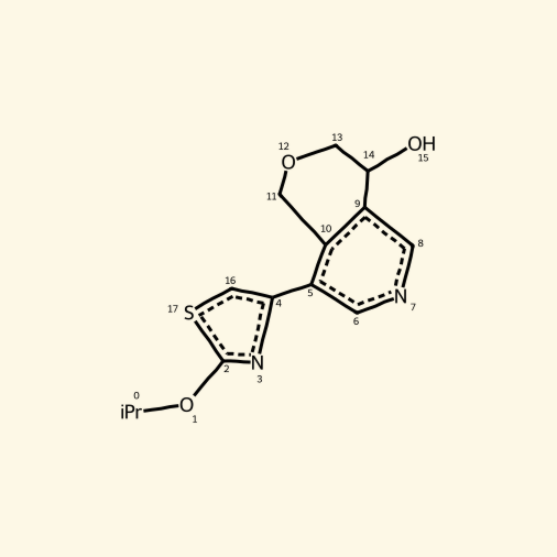 CC(C)Oc1nc(-c2cncc3c2COCC3O)cs1